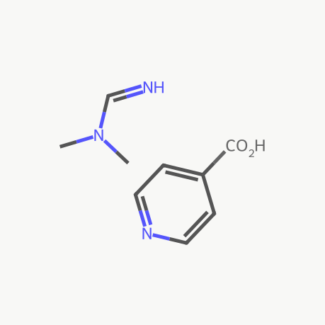 CN(C)C=N.O=C(O)c1ccncc1